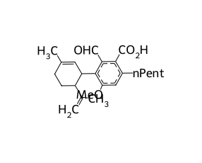 C=C(C)C1CCC(C)=CC1c1c(OC)cc(CCCCC)c(C(=O)O)c1C=O